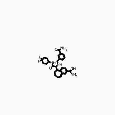 N=C(N)c1ccc2c(c1)=CCCCC=2C(NCc1cccc(C(N)=O)c1)C(=O)NC1CCC(F)(F)CC1